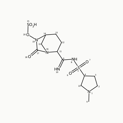 CN1CCC(S(=O)(=O)NC(=N)C2CCC3CN2C(=O)N3OS(=O)(=O)O)C1